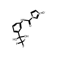 O=C(Nc1cccc(C(O)(O)C(F)(F)F)c1)n1cc[n+]([O-])c1